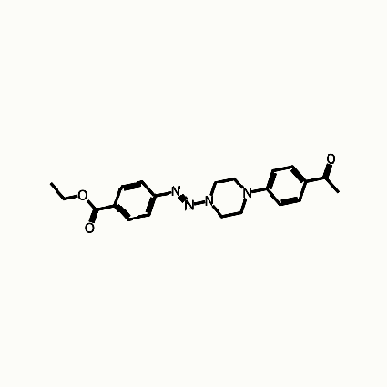 CCOC(=O)c1ccc(/N=N/N2CCN(c3ccc(C(C)=O)cc3)CC2)cc1